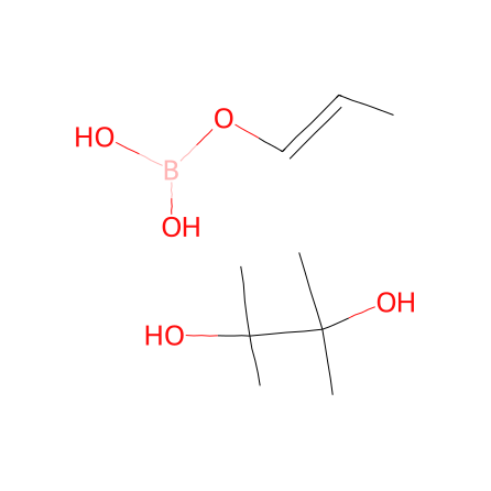 CC(C)(O)C(C)(C)O.CC=COB(O)O